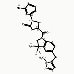 Cn1nccc1Cc1ccc2c(c1)C(C)(C)CN2C(=O)[C@H]1CC(=O)N(c2cccc(C#N)c2)C1